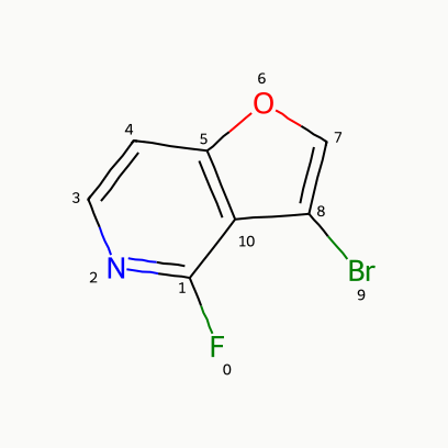 Fc1nccc2occ(Br)c12